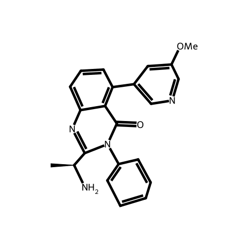 COc1cncc(-c2cccc3nc([C@H](C)N)n(-c4ccccc4)c(=O)c23)c1